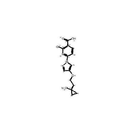 CC1(CCOc2cnn(-c3ccc(C(=O)O)c(Cl)n3)c2)CC1